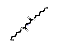 O=C(/C=C/C(=O)OCCCCO)OCCCCO